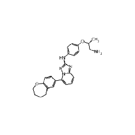 C[C@@H](CN)Oc1ccc(Nc2nc3cccc(-c4ccc5c(c4)CCCCO5)n3n2)cc1